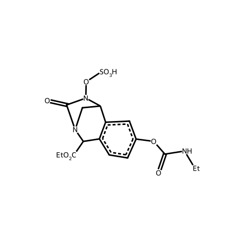 CCNC(=O)Oc1ccc2c(c1)C1CN(C(=O)N1OS(=O)(=O)O)C2C(=O)OCC